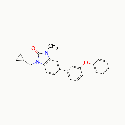 Cn1c(=O)n(CC2CC2)c2ccc(-c3cccc(Oc4ccccc4)c3)cc21